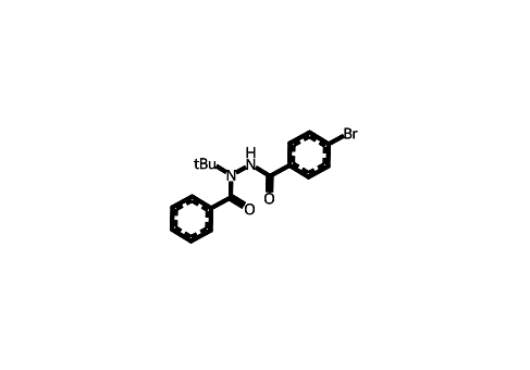 CC(C)(C)N(NC(=O)c1ccc(Br)cc1)C(=O)c1ccccc1